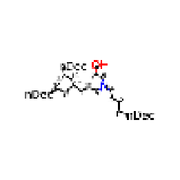 CCCCCCCCCCCCCCN(CCO)CCCC(CCCCCCCCCCCC)CCCCCCCCCCCC